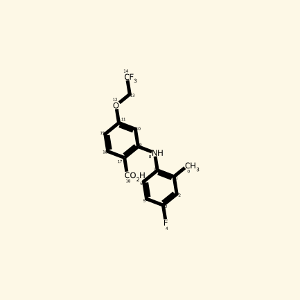 Cc1cc(F)ccc1Nc1cc(OCC(F)(F)F)ccc1C(=O)O